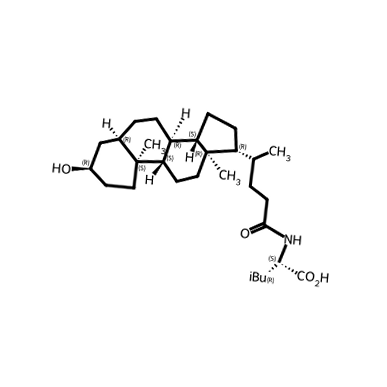 CC[C@@H](C)[C@H](NC(=O)CCC(C)[C@H]1CC[C@H]2[C@@H]3CC[C@@H]4C[C@H](O)CC[C@]4(C)[C@H]3CC[C@]12C)C(=O)O